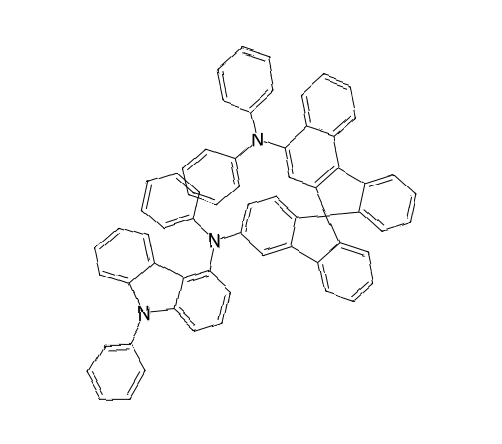 c1ccc(N(c2ccccc2)c2cc3c(c4ccccc24)-c2ccccc2C32c3ccccc3-c3cc(N(c4ccccc4)c4cccc5c4c4ccccc4n5-c4ccccc4)ccc32)cc1